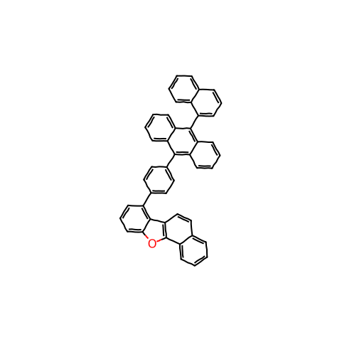 c1ccc2c(-c3c4ccccc4c(-c4ccc(-c5cccc6oc7c8ccccc8ccc7c56)cc4)c4ccccc34)cccc2c1